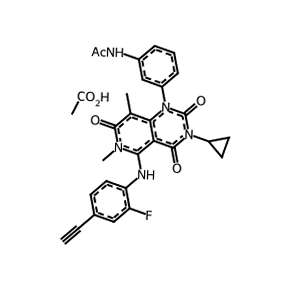 C#Cc1ccc(Nc2c3c(=O)n(C4CC4)c(=O)n(-c4cccc(NC(C)=O)c4)c3c(C)c(=O)n2C)c(F)c1.CC(=O)O